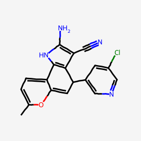 CC1=CC=C2C(=CC(c3cncc(Cl)c3)c3c2[nH]c(N)c3C#N)O1